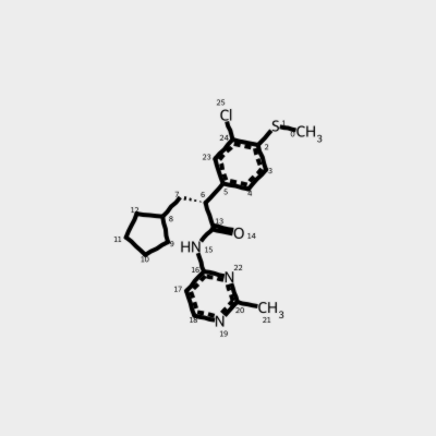 CSc1ccc([C@@H](CC2CCCC2)C(=O)Nc2ccnc(C)n2)cc1Cl